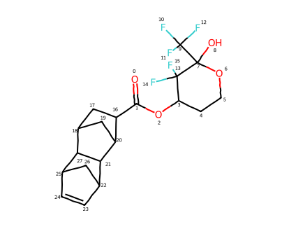 O=C(OC1CCOC(O)(C(F)(F)F)C1(F)F)C1CC2CC1C1C3C=CC(C3)C21